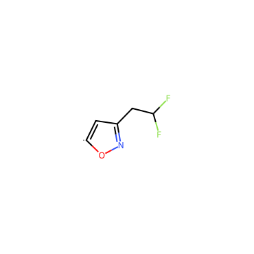 FC(F)Cc1c[c]on1